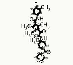 Cc1cc(NC(=O)c2c(C)c(C(=O)C(=O)NC3(C)CCN(C(=O)N4CCOCC4)CC3)n(C)c2C)ccc1F